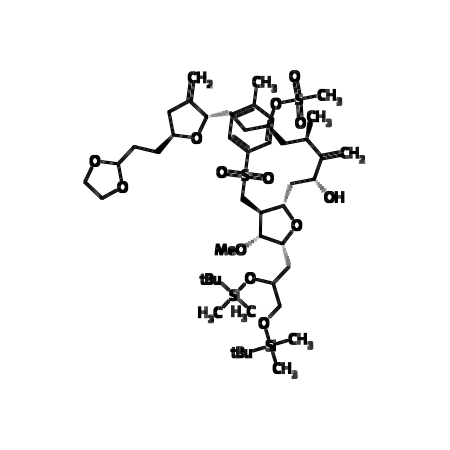 C=C([C@H](C)C[C@@H](CC[C@@H]1O[C@@H](CCC2OCCO2)CC1=C)OS(C)(=O)=O)[C@H](O)C[C@@H]1O[C@H](CC(CO[Si](C)(C)C(C)(C)C)O[Si](C)(C)C(C)(C)C)[C@H](OC)[C@H]1CS(=O)(=O)c1ccc(C)cc1